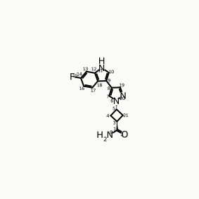 NC(=O)[C@H]1C[C@H](n2cc(-c3c[nH]c4cc(F)ccc34)cn2)C1